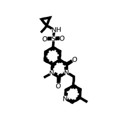 Cc1cncc(Cn2c(=O)c3cc(S(=O)(=O)NC4(C)CC4)ccc3n(C)c2=O)c1